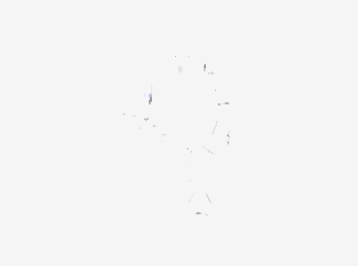 CCC[C@H]1[C@@H](C)C/C=C/[C@H](O)[C@@H]2CC[C@H]2CN2C[C@@]3(CCCc4cc(Cl)ccc43)COc3ccc(cc32)C(=O)NS1(=O)=O